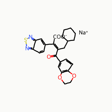 O=C([O-])/C(=C(\CC1CCCCC1)C(=O)c1ccc2c(c1)OCCO2)c1ccc2nsnc2c1.[Na+]